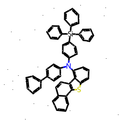 c1ccc(-c2ccc(N(c3ccc([Si](c4ccccc4)(c4ccccc4)c4ccccc4)cc3)c3cccc4sc5c6ccccc6ccc5c34)cc2)cc1